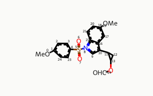 COc1ccc(S(=O)(=O)n2cc(C3CC3OC=O)c3cc(OC)ccc32)cc1